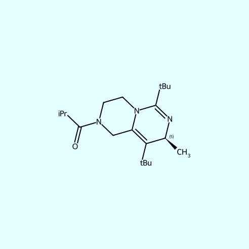 CC(C)C(=O)N1CCN2C(C(C)(C)C)=N[C@@H](C)C(C(C)(C)C)=C2C1